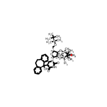 CC(C)(C)[Si](C)(C)OC[C@H]1O[C@@H](n2cc(C3(O)c4ccccc4CCc4ccccc43)c(=O)[nH]c2=O)[C@H](O[Si](C)(C)C(C)(C)C)[C@@H]1O[Si](C)(C)C(C)(C)C